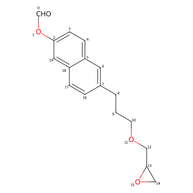 O=COc1ccc2cc(CCCOCC3CO3)ccc2c1